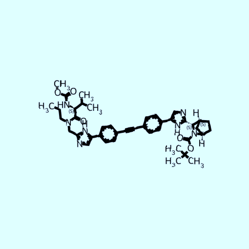 CCCN(Cc1ncc(-c2ccc(C#Cc3ccc(-c4cnc([C@@H]5[C@H]6CC[C@H](C6)N5C(=O)OC(C)(C)C)[nH]4)cc3)cc2)[nH]1)C(=O)[C@@H](NC(=O)OC)C(C)C